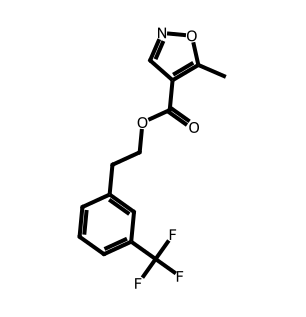 Cc1oncc1C(=O)OCCc1cccc(C(F)(F)F)c1